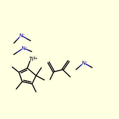 C=C(C)C(=C)C.CC1=C(C)C(C)(C)[C]([Ti+3])=C1C.C[N-]C.C[N-]C.C[N-]C